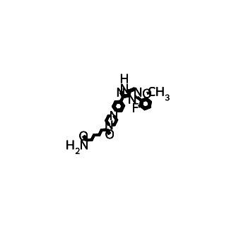 COc1cccc(F)c1-c1ncc2[nH]nc(-c3ccc(N4CCN(C(=O)CCCCC(N)=O)CC4)cc3)c2n1